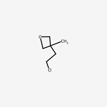 CC1(CCCl)COC1